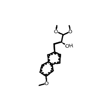 COc1ccc2cc(C[C@H](O)C(OC)OC)ccc2c1